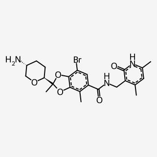 Cc1cc(C)c(CNC(=O)c2cc(Br)c3c(c2C)OC(C)([C@@H]2CC[C@@H](N)CO2)O3)c(=O)[nH]1